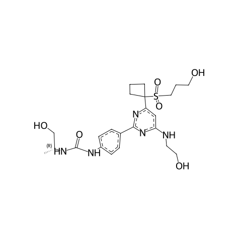 C[C@H](CO)NC(=O)Nc1ccc(-c2nc(NCCO)cc(C3(S(=O)(=O)CCCO)CCC3)n2)cc1